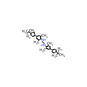 Cc1cc(-c2ccc(C(C)(C)C)cc2)cc(C)c1NCCNc1c(C)cc(-c2ccc(C(C)(C)C)cc2)cc1C